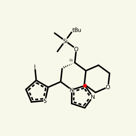 CC(C)(C)[Si](C)(C)O[C@@H](CC(c1sccc1I)n1ccnc1)C1CCOCC1